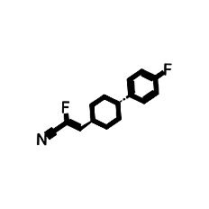 N#CC(F)=C[C@H]1CC[C@H](c2ccc(F)cc2)CC1